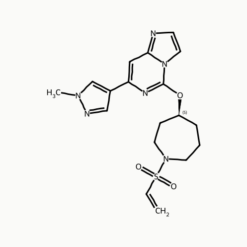 C=CS(=O)(=O)N1CCC[C@H](Oc2nc(-c3cnn(C)c3)cc3nccn23)CC1